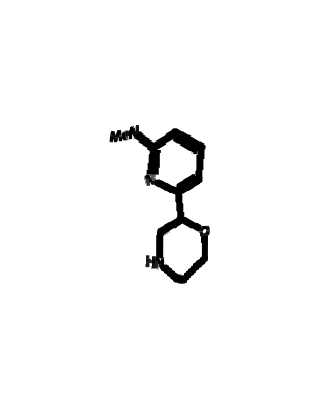 CNc1cccc(C2CNCCO2)n1